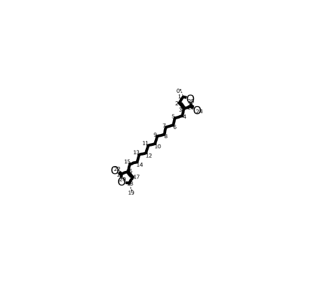 C[C@H]1C=C(CCCCCCCCCCCCC2=C[C@H](C)OC2=O)C(=O)O1